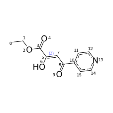 CCOC(=O)/C(O)=C/C(=O)c1ccncc1